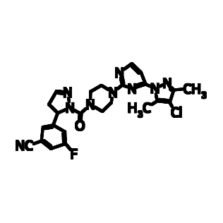 Cc1nn(-c2ccnc(N3CCN(C(=O)N4N=CCC4c4cc(F)cc(C#N)c4)CC3)n2)c(C)c1Cl